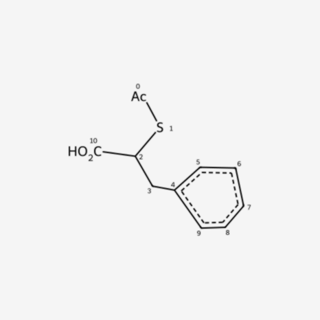 CC(=O)SC(Cc1ccccc1)C(=O)O